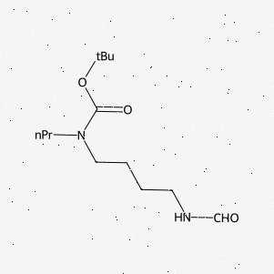 CCCN(CCCCNC=O)C(=O)OC(C)(C)C